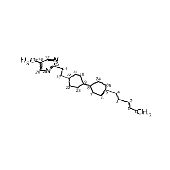 CCCCCC1CCC(C2CCC(CCc3ncc(C)cn3)CC2)CC1